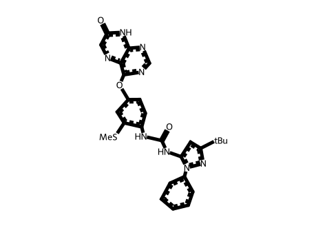 CSc1cc(Oc2ncnc3[nH]c(=O)cnc23)ccc1NC(=O)Nc1cc(C(C)(C)C)nn1-c1ccccc1